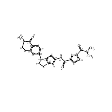 CN(C)C(=O)c1cc(C(=O)Nc2cc3n(n2)CCN3c2ccc3c(c2)CCN(C)C3=O)cs1